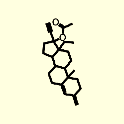 C#CC1(OC(C)=O)CCC2C3CCC4=CC(=C)CCC4(C)C3CCC21CC